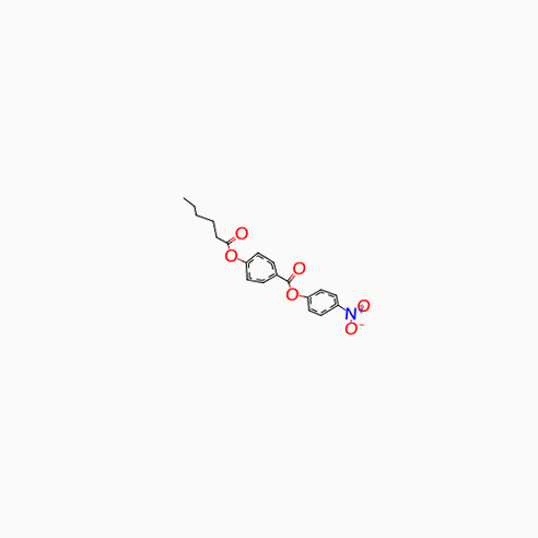 CCCCCC(=O)Oc1ccc(C(=O)Oc2ccc([N+](=O)[O-])cc2)cc1